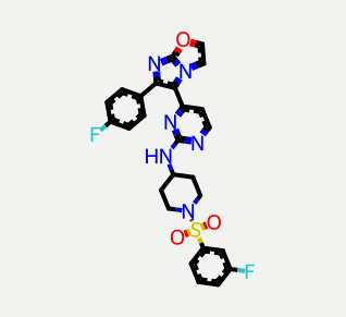 O=S(=O)(c1cccc(F)c1)N1CCC(Nc2nccc(-c3c(-c4ccc(F)cc4)nc4occn34)n2)CC1